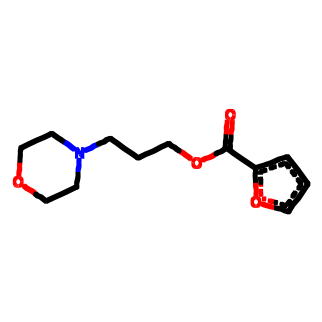 O=C(OCCCN1CCOCC1)c1ccco1